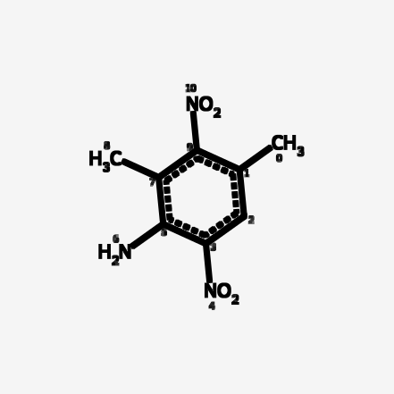 Cc1cc([N+](=O)[O-])c(N)c(C)c1[N+](=O)[O-]